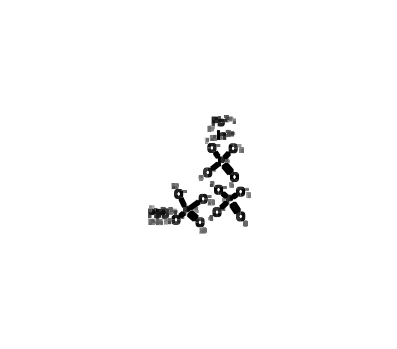 O=P([O-])([O-])[O-].O=P([O-])([O-])[O-].O=P([O-])([O-])[O-].[In+3].[Pb+2].[Pb+2].[Pb+2]